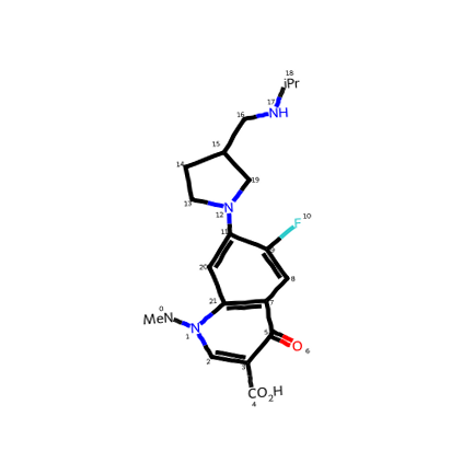 CNn1cc(C(=O)O)c(=O)c2cc(F)c(N3CCC(CNC(C)C)C3)cc21